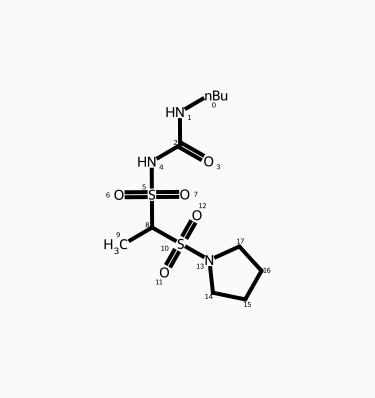 CCCCNC(=O)NS(=O)(=O)C(C)S(=O)(=O)N1CCCC1